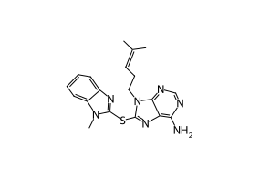 CC(C)=CCCn1c(Sc2nc3ccccc3n2C)nc2c(N)ncnc21